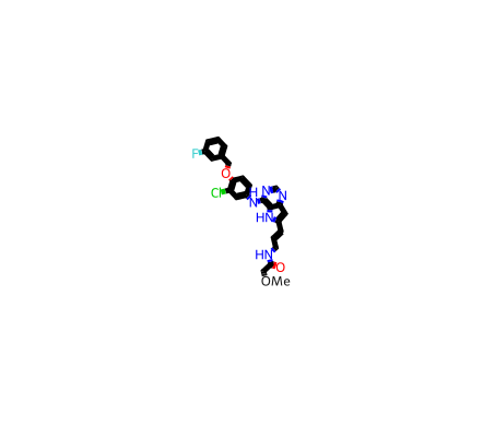 COCC(=O)NCC=Cc1cc2ncnc(Nc3ccc(OCc4cccc(F)c4)c(Cl)c3)c2[nH]1